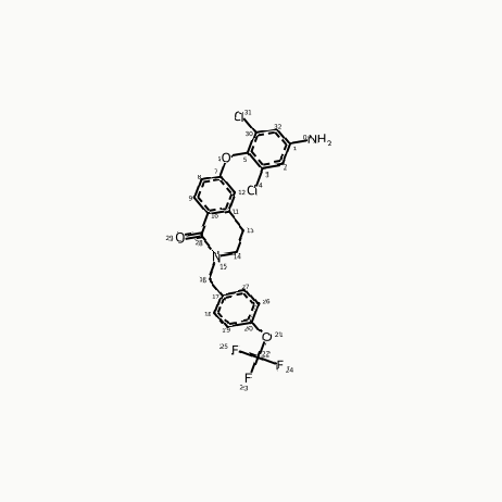 Nc1cc(Cl)c(Oc2ccc3c(c2)CCN(Cc2ccc(OC(F)(F)F)cc2)C3=O)c(Cl)c1